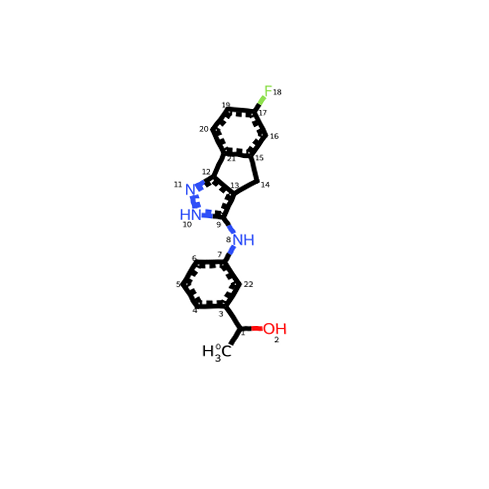 CC(O)c1cccc(Nc2[nH]nc3c2Cc2cc(F)ccc2-3)c1